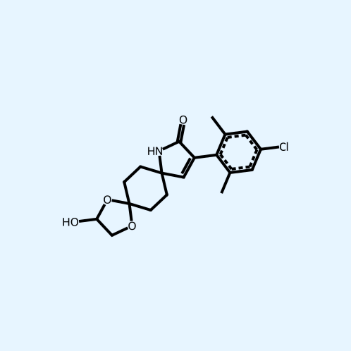 Cc1cc(Cl)cc(C)c1C1=CC2(CCC3(CC2)OCC(O)O3)NC1=O